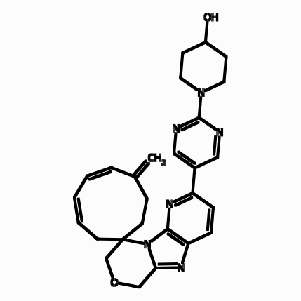 C=C1/C=C\C=C/CC2(CC1)COCc1nc3ccc(-c4cnc(N5CCC(O)CC5)nc4)nc3n12